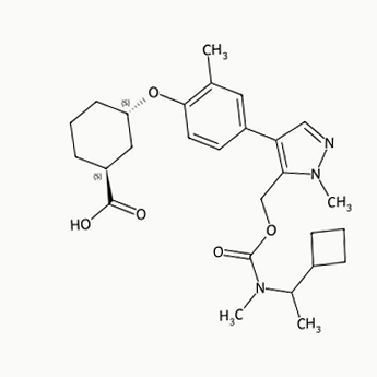 Cc1cc(-c2cnn(C)c2COC(=O)N(C)C(C)C2CCC2)ccc1O[C@H]1CCC[C@H](C(=O)O)C1